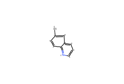 CCc1ccc2ncccc2c1